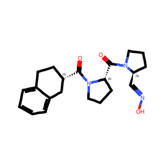 O=C([C@@H]1CCCN1C(=O)[C@H]1CCc2ccccc2C1)N1CCC[C@H]1C=NO